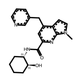 Cn1ccc2c(Cc3cccnc3)cc(C(=O)N[C@H]3CCCC[C@@H]3O)nc21